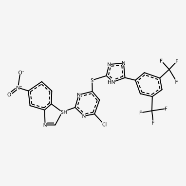 O=[N+]([O-])c1ccc2c(c1)N=C[SH]2c1nc(Cl)cc(Sc2nnc(-c3cc(C(F)(F)F)cc(C(F)(F)F)c3)[nH]2)n1